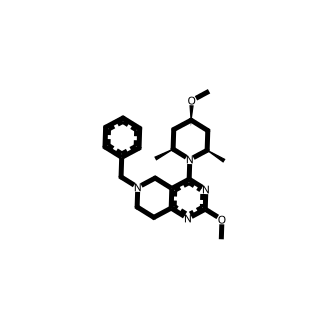 COc1nc2c(c(N3[C@H](C)C[C@H](OC)C[C@@H]3C)n1)CN(Cc1ccccc1)CC2